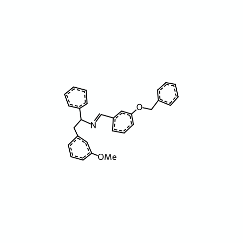 COc1cccc(CC(N=Cc2cccc(OCc3ccccc3)c2)c2ccccc2)c1